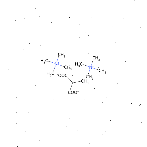 CC(C(=O)[O-])C(=O)[O-].C[N+](C)(C)C.C[N+](C)(C)C